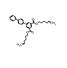 C=CCCCCOC(=O)c1cc(C(=O)OCCCCC=C)cc(-c2ccc(-c3ccccc3)cc2)c1